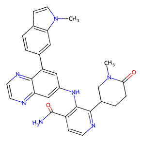 CN1CC(c2nccc(C(N)=O)c2Nc2cc(-c3ccc4ccn(C)c4c3)c3nccnc3c2)CCC1=O